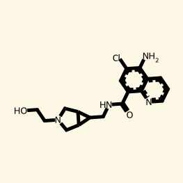 Nc1c(Cl)cc(C(=O)NCC2C3CN(CCO)CC23)c2ncccc12